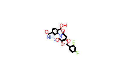 Cc1cc(OCc2ccc(F)cc2F)c(Br)c(=O)n1-c1cc(C(N)=O)ccc1C(=O)O